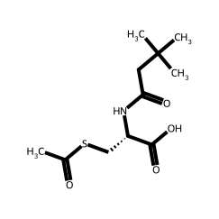 CC(=O)SC[C@H](NC(=O)CC(C)(C)C)C(=O)O